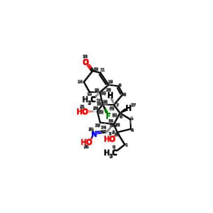 CC[C@]1(O)CC[C@H]2[C@@H]3C=CC4=CC(=O)CC[C@]4(C)[C@@]3(F)[C@@H](O)C[C@@]21C=NO